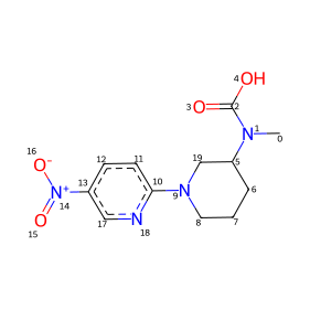 CN(C(=O)O)C1CCCN(c2ccc([N+](=O)[O-])cn2)C1